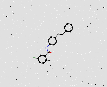 COc1ccc(Cl)cc1C(=O)Nc1ccc(CCc2ccccc2)cc1